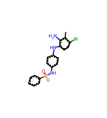 Cc1c(Br)ccc(Nc2ccc(NS(=O)(=O)c3ccccc3)cc2)c1N